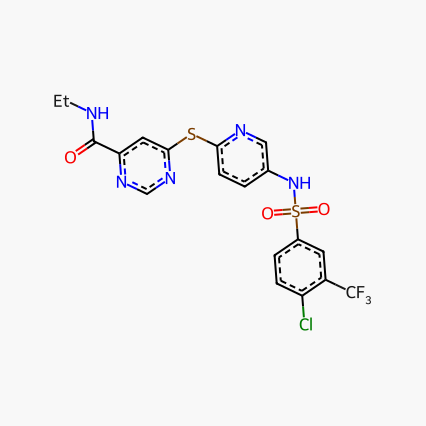 CCNC(=O)c1cc(Sc2ccc(NS(=O)(=O)c3ccc(Cl)c(C(F)(F)F)c3)cn2)ncn1